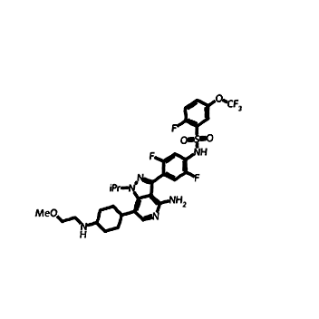 COCCNC1CCC(c2cnc(N)c3c(-c4cc(F)c(NS(=O)(=O)c5cc(OC(F)(F)F)ccc5F)cc4F)nn(C(C)C)c23)CC1